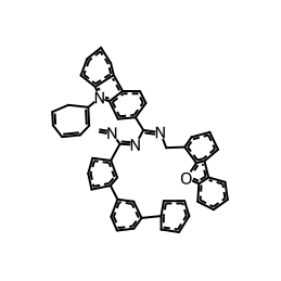 C=N/C(=N\C(=N/Cc1cccc2c1oc1ccccc12)c1ccc2c3ccccc3n(C3=CC=CC=CC3)c2c1)c1cccc(-c2cccc(-c3ccccc3)c2)c1